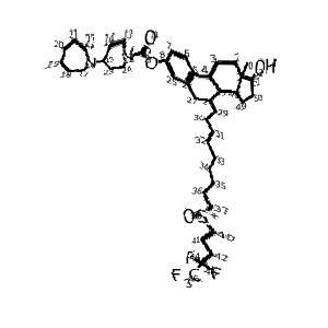 CC12CCC3c4ccc(OC(=O)N5CCC(N6CCCCCC6)CC5)cc4CC(CCCCCCCCC[S+]([O-])CCCC(F)(F)C(F)(F)F)C3C1CCC2O